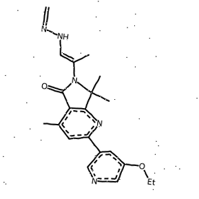 C=NN/C=C(\C)N1C(=O)c2c(C)cc(-c3cncc(OCC)c3)nc2C1(C)C